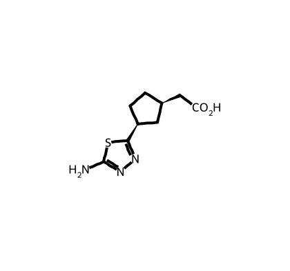 Nc1nnc([C@H]2CC[C@@H](CC(=O)O)C2)s1